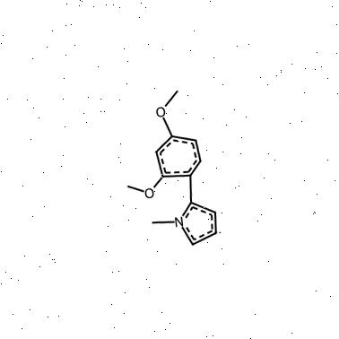 COc1ccc(-c2c[c]cn2C)c(OC)c1